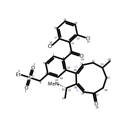 CCS(=O)(=O)Cc1ccc(C(=O)c2c(Cl)cccc2Cl)c(C2=C/CC(C)CCC(=O)/C=C\2[C@H](C)NC)c1